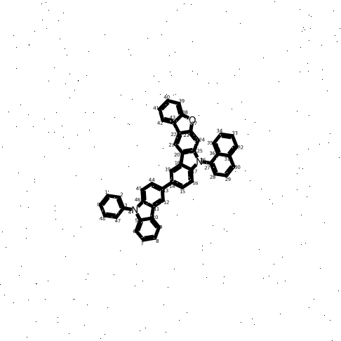 c1ccc(-n2c3ccccc3c3cc(-c4ccc5c(c4)c4cc6c(cc4n5-c4cccc5ccccc45)oc4ccccc46)ccc32)cc1